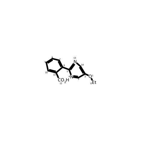 CCOc1cnc(-c2ccccc2C(=O)O)nc1